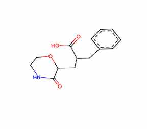 O=C(O)C(Cc1ccccc1)CC1OCCNC1=O